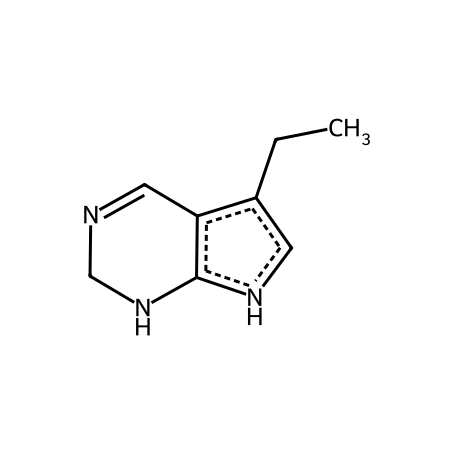 CCc1c[nH]c2c1C=NCN2